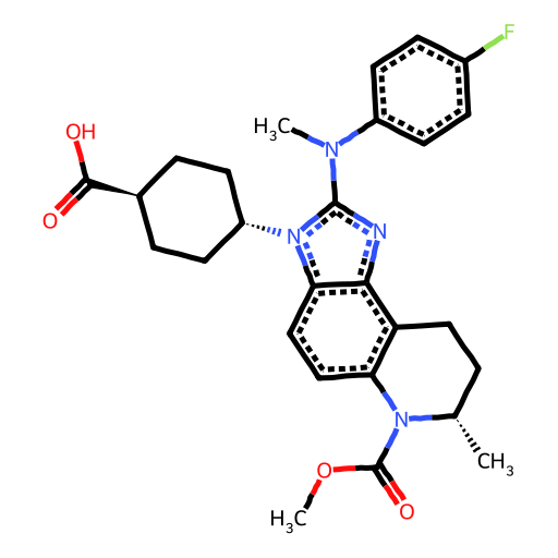 COC(=O)N1c2ccc3c(nc(N(C)c4ccc(F)cc4)n3[C@H]3CC[C@H](C(=O)O)CC3)c2CC[C@@H]1C